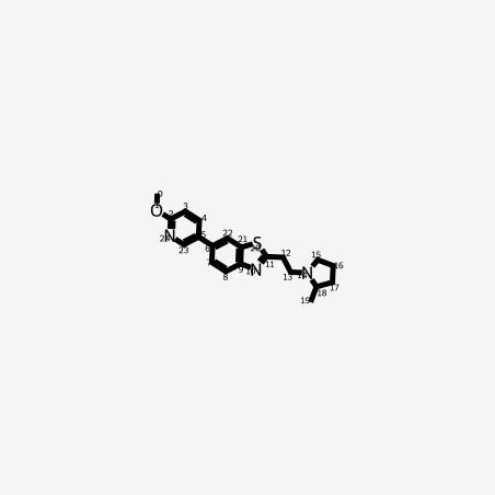 COc1ccc(-c2ccc3nc(CCN4CCCC4C)sc3c2)cn1